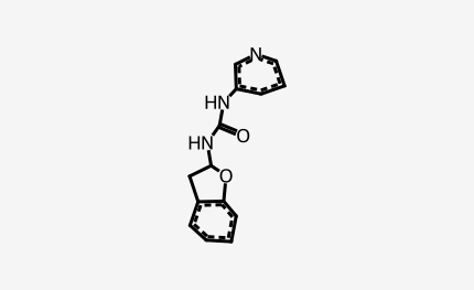 O=C(Nc1cccnc1)NC1Cc2ccccc2O1